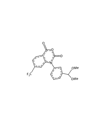 COC(OC)c1cccc(-n2c(=O)oc(=O)c3ccc(C(F)(F)F)cc32)c1